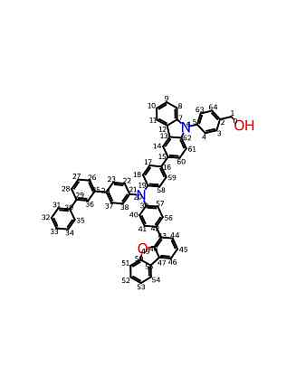 OCc1ccc(-n2c3ccccc3c3cc(-c4ccc(N(c5ccc(-c6cccc(-c7ccccc7)c6)cc5)c5ccc(-c6cccc7c6oc6ccccc67)cc5)cc4)ccc32)cc1